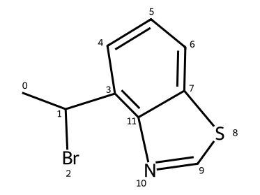 CC(Br)c1cccc2scnc12